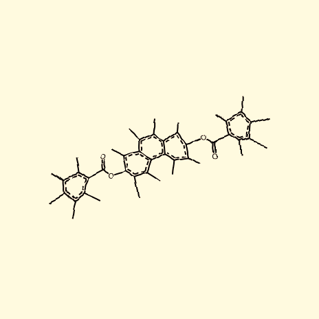 Cc1c(C)c(C)c(C(=O)Oc2c(C)c(C)c3c(c2C)c(C)c(C)c2c(C)c(OC(=O)c4c(C)c(C)c(C)c(C)c4C)c(C)c(C)c23)c(C)c1C